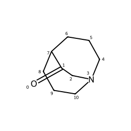 O=C1CN2CCCC1CCC2